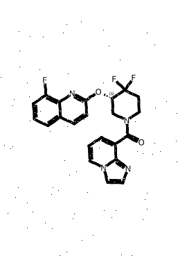 O=C(c1cccn2ccnc12)N1CCC(F)(F)[C@@H](Oc2ccc3cccc(F)c3n2)C1